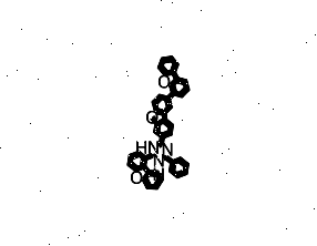 c1ccc(C2=NC(c3ccc4c(c3)oc3ccc(-c5cccc6c5oc5ccccc56)cc34)NC(c3cccc4oc5ccccc5c34)N2)cc1